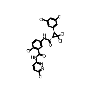 O=C(Nc1ccc(Cl)nn1)c1cc(NC(=O)[C@@H]2[C@@H](c3cc(Cl)cc(Cl)c3)C2(Cl)Cl)ccc1Cl